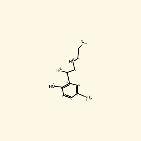 Nc1ccc(O)c(C(O)CNCCO)c1